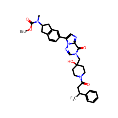 CN(C(=O)OC(C)(C)C)C1Cc2ccc(-c3cnc4c(=O)n(CC5(O)CCN(C(=O)CC(c6ccccc6)C(F)(F)F)CC5)cnn34)cc2C1